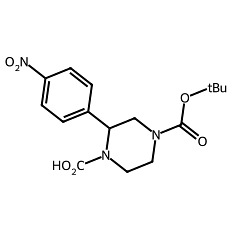 CC(C)(C)OC(=O)N1CCN(C(=O)O)C(c2ccc([N+](=O)[O-])cc2)C1